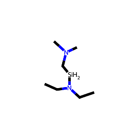 CCN(CC)[SiH2]CN(C)C